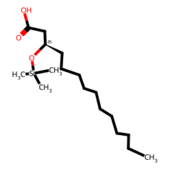 CCCCCCCCCCC[C@H](CC(=O)O)O[Si](C)(C)C